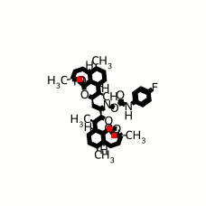 C[C@H]1[C@@H](/C(C[C@H]2O[C@@H]3C[C@]4(C)CC[C@H]5[C@H](C)CC[C@@H]([C@H]2C)[C@@]35OO4)=N\OC(=O)Nc2ccc(F)cc2)O[C@@H]2C[C@]3(C)CC[C@H]4[C@H](C)CC[C@@H]1[C@@]24OO3